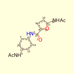 CC(=O)Nc1ccc(NC(=O)c2ccc(NC(C)=O)o2)cc1